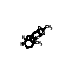 Cc1nc2cc3c(cc2o1)C[C@H]1NCC[C@]3(C)C1(C)C